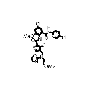 COCCN(Cc1csc(C(=O)Nc2c(OC)cc(Cl)cc2C(=O)Nc2ccc(Cl)cn2)c1Cl)C1=NCCO1